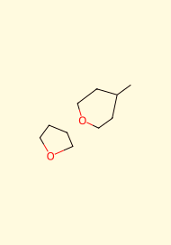 C1CCOC1.CC1CCOCC1